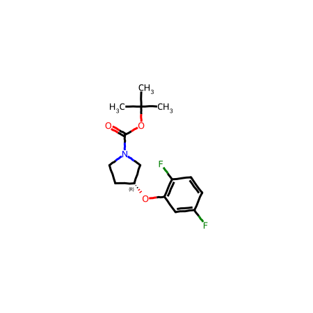 CC(C)(C)OC(=O)N1CC[C@@H](Oc2cc(F)ccc2F)C1